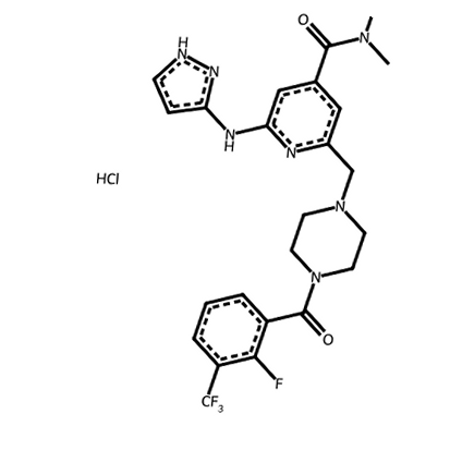 CN(C)C(=O)c1cc(CN2CCN(C(=O)c3cccc(C(F)(F)F)c3F)CC2)nc(Nc2cc[nH]n2)c1.Cl